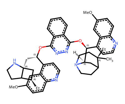 CC[C@@H]1C[C@]2(C[C@H](Oc3nnc(O[C@@H](c4ccnc5ccc(OC)cc45)[C@H]4CC5CCN4CC[C@@]5(C)CC)c4ccccc34)c3ccnc4ccc(OC)cc34)NCCC12